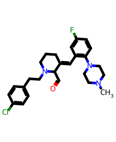 CN1CCN(c2ccc(F)cc2C=C2CCCN(CCc3ccc(Cl)cc3)C2C=O)CC1